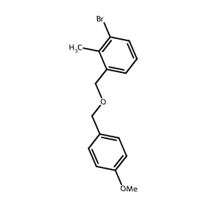 COc1ccc(COCc2cccc(Br)c2C)cc1